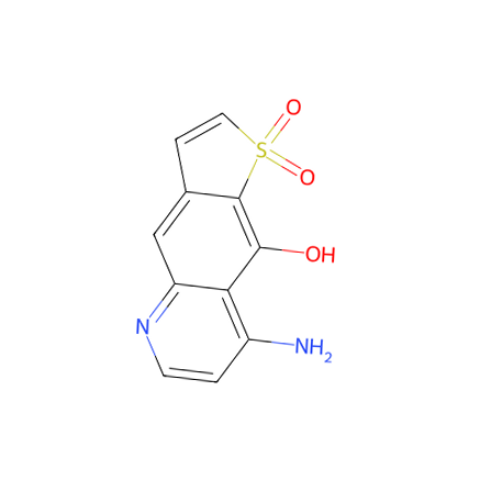 Nc1ccnc2cc3c(c(O)c12)S(=O)(=O)C=C3